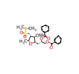 CO[C@@H]1[C@@H](CS(=O)(=O)P(C)C)[C@H](C)O[C@@H]1C[C@@H](COC(=O)c1ccccc1)OC(=O)c1ccccc1